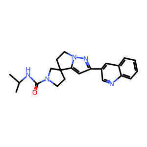 CC(C)NC(=O)N1CCC2(CCn3nc(-c4cnc5ccccc5c4)cc32)C1